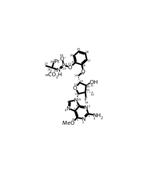 COc1nc(N)nc2c1ncn2[C@@H]1O[C@H](COc2ccccc2O/[P+]([O-])=N/[C@](C)(C(=O)O)C(C)C)[C@@H](O)[C@@]1(C)F